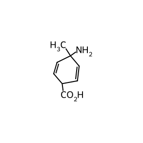 CC1(N)C=CC(C(=O)O)C=C1